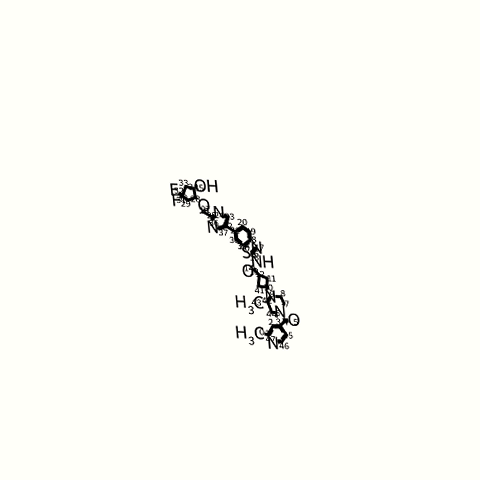 Cc1cc(C(=O)N2CCN(C3CC(C(=O)Nc4nc5ccc(-c6cnc(CO[C@H]7CC(F)(F)C[C@@H]7O)nc6)cc5s4)C3)[C@@H](C)C2)ccn1